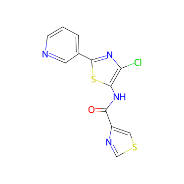 O=C(Nc1sc(-c2cccnc2)nc1Cl)c1cscn1